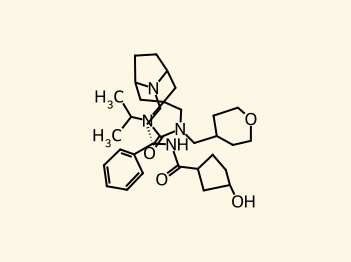 CC(C)N1C(=O)N(CC2CCOCC2)CC12CC1CCC(C2)N1CC[C@H](NC(=O)C1CCC(O)C1)c1ccccc1